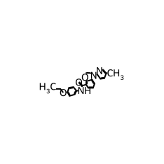 CCCOc1ccc(NC(=O)c2cccc3c2OCCN3c2ccc(C)cn2)cc1